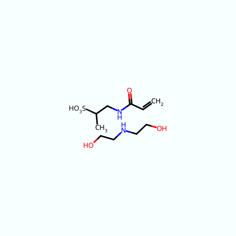 C=CC(=O)NCC(C)S(=O)(=O)O.OCCNCCO